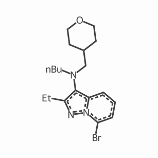 CCCCN(CC1CCOCC1)c1c(CC)nn2c(Br)cccc12